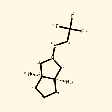 FC(F)(F)CSN1C[C@H]2CCC[C@H]2C1